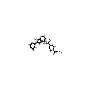 CC(N)C1CCC(C(=O)Nc2ccnc3[nH]c(-c4cccc(F)c4)cc23)CC1